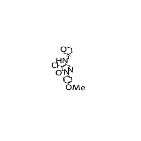 COc1ccc(-n2ncc(NC[C@@H]3CCCOC3)c(Cl)c2=O)cc1